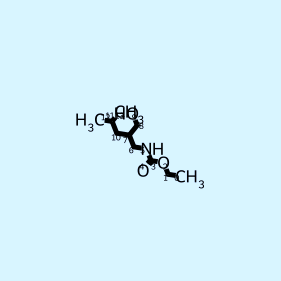 CCOC(=O)NCC(CO)CC(C)C